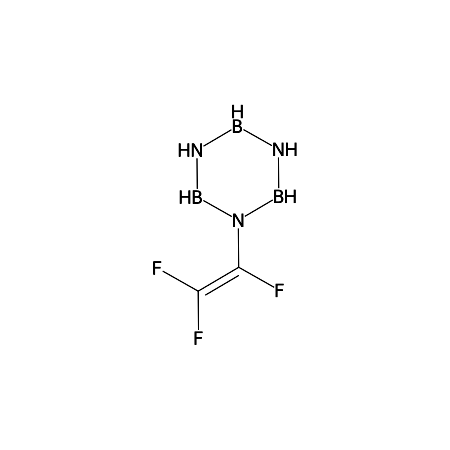 FC(F)=C(F)N1BNBNB1